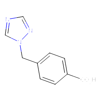 O=C(O)c1ccc(Cn2cncn2)cc1